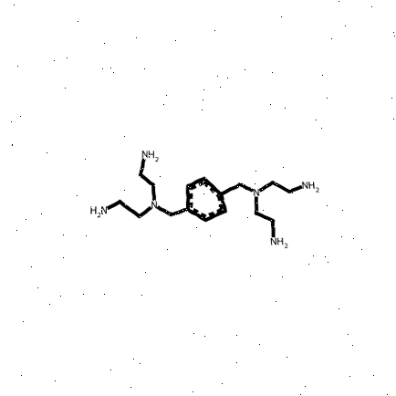 NCCN(CCN)Cc1ccc(CN(CCN)CCN)cc1